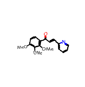 COc1ccc(C(=O)C=Cc2ccccn2)c(OC)c1OC